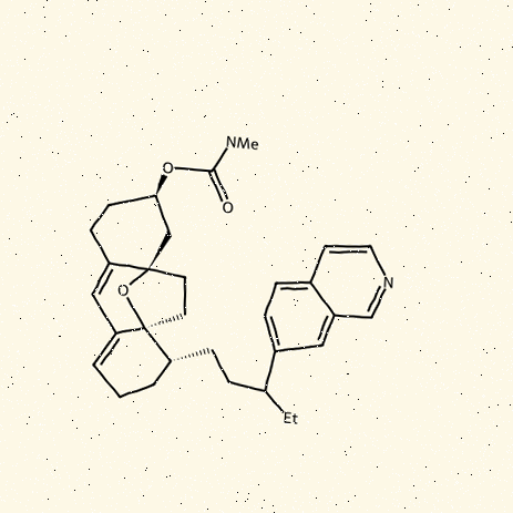 CCC(CC[C@@H]1CCC=C2C=C3CC[C@@H](OC(=O)NC)C[C@]34CC[C@@]21O4)c1ccc2ccncc2c1